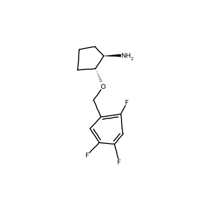 N[C@@H]1CCC[C@H]1OCc1cc(F)c(F)cc1F